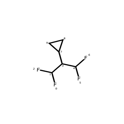 FC(F)C(C(F)F)C1CC1